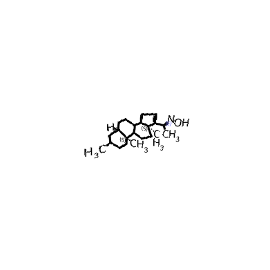 C/C(=N\O)C1=CCC2C3CC[C@H]4CC(C)CC[C@]4(C)C3CC[C@]12C